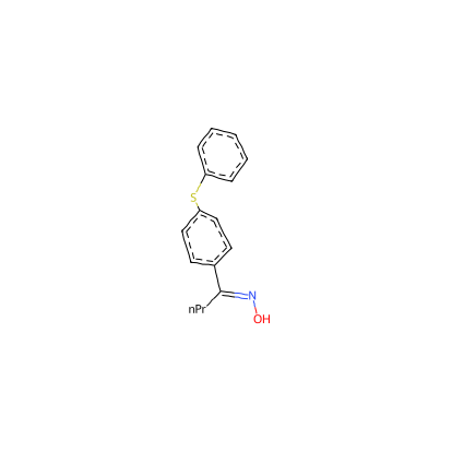 CCCC(=NO)c1ccc(Sc2ccccc2)cc1